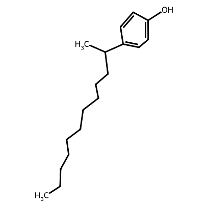 CCCCCCCCCCC(C)c1ccc(O)cc1